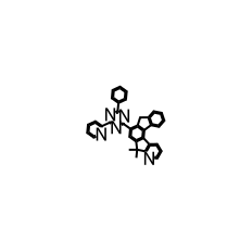 CC1(C)c2cc(-c3nc(-c4ccccc4)nc(-c4ccccn4)n3)c3c(c2-c2cccnc21)-c1ccccc1C3